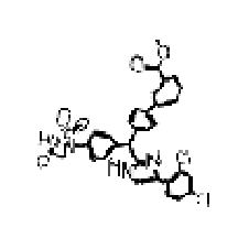 COC(=O)c1cccc(-c2ccc(C(c3ccc(N4CC(=O)NS4(=O)=O)cc3)c3nc(-c4ccc(Cl)cc4Cl)c[nH]3)cc2)c1